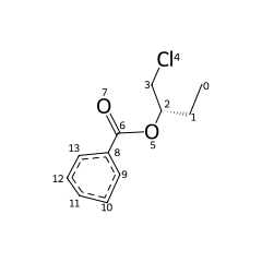 CC[C@@H](CCl)OC(=O)c1ccccc1